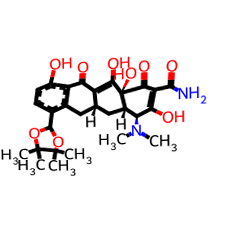 CN(C)[C@@H]1C(O)=C(C(N)=O)C(=O)[C@@]2(O)C(O)=C3C(=O)c4c(O)ccc(C5OC(C)(C)C(C)(C)O5)c4C[C@H]3C[C@@H]12